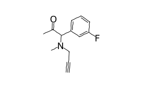 C#CCN(C)C(C(C)=O)c1cccc(F)c1